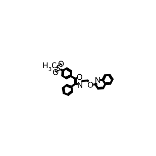 CS(=O)(=O)c1ccc(-c2oc(COc3ccc4ccccc4n3)nc2-c2ccccc2)cc1